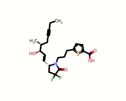 CCC#CC[C@H](C)[C@H](O)C=C[C@H]1CC(F)(F)C(=O)N1CCCc1ccc(C(=O)O)s1